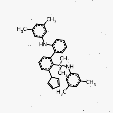 Cc1cc(C)cc(Nc2ccccc2-c2cccc(C3C=CC=C3)c2S(C)(C)Nc2cc(C)cc(C)c2)c1